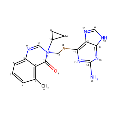 Cc1cccc2c1C(=O)[N+](CSc1nc(N)nc3[nH]cnc13)(C1CC1)C=N2